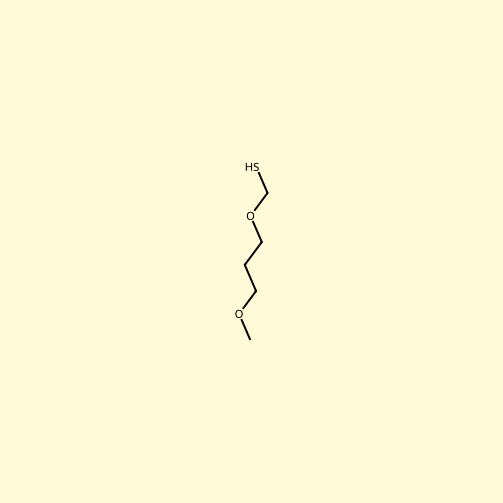 COCCCOCS